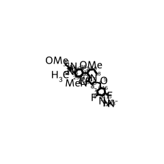 CNc1cc(C(=O)c2cc(F)c(N=[N+]=[N-])c(F)c2)n2cccc(-c3c(C(F)(F)F)cc4c(nc(COC)n4C)c3OC)c12